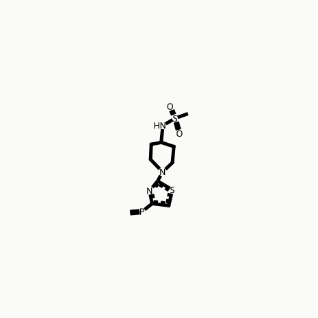 C=Pc1csc(N2CCC(NS(C)(=O)=O)CC2)n1